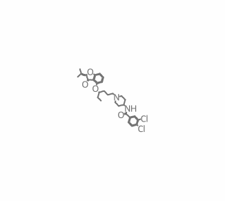 CCC(CCCN1CCC(NC(=O)c2ccc(Cl)c(Cl)c2)CC1)Oc1cccc2c1C(=O)C(=C(C)C)O2